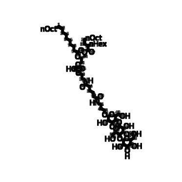 CCCCCCCC/C=C\CCCCCCCC(=O)O[C@H](COC(=O)C(/C=C\CCCCCCCC)CCCCCC)COP(=O)(O)OCCNC(=O)CCCCC(=O)NCCCO[C@@H]1OC(CO)[C@@H](O[C@@H]2OC(CO)[C@H](O[C@H]3OC(CO)[C@H](O)[C@H](O)C3O)[C@H](O)C2O)[C@H](O)C1O